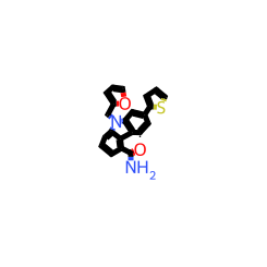 NC(=O)c1cccc2c1c1[c]cc(-c3cccs3)cc1n2Cc1ccco1